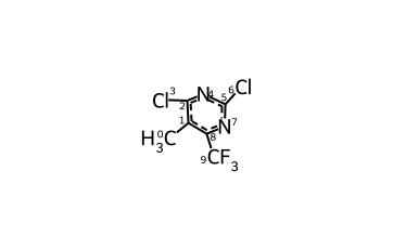 Cc1c(Cl)nc(Cl)nc1C(F)(F)F